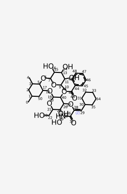 CC1CC(C)C(OC2OC(C)C(O)C(O)C2O)C(OC2OC(CO)C(O)C(O/C(=C\C3CCCCC3)C(=O)NO)C2OC(=O)c2ccccc2)C1